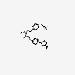 CC#N.CCN(CCc1ccccc1)C(C)CCc1ccc(C2CCC(F)C2)cc1